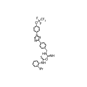 CC(C)c1ccccc1NC(=S)OC(=N)NCc1ccc(-c2ncn(-c3ccc(OC(F)(F)C(F)(F)F)cc3)n2)cc1